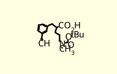 C#Cc1cccc(CC(CCCN(C)C(=O)OC(C)(C)C)C(=O)O)c1